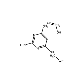 CCCC.Nc1nc(N)nc(N)n1.O=[PH2]O